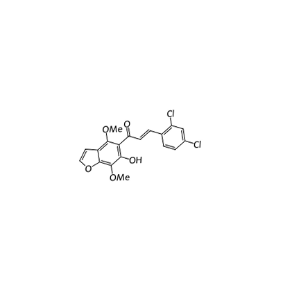 COc1c(C(=O)/C=C/c2ccc(Cl)cc2Cl)c(O)c(OC)c2occc12